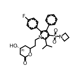 CC(C)c1c(S(=O)(=O)N2CCC2)c(-c2ccccc2)c(-c2ccc(F)cc2)n1CCC1C[C@@H](O)CC(=O)O1